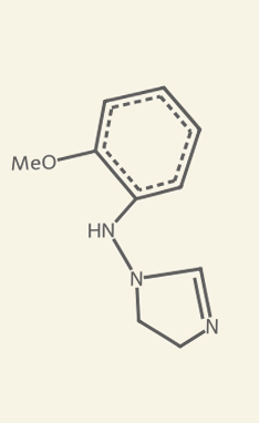 COc1ccccc1NN1C=NCC1